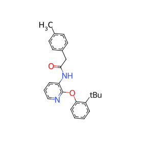 Cc1ccc(CC(=O)Nc2cccnc2Oc2ccccc2C(C)(C)C)cc1